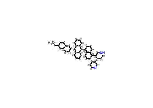 CCc1ccc2cc(-c3c4ccccc4c(-c4cccc5c(C6=CNCC=C6c6cccnc6)cccc45)c4ccccc34)ccc2c1